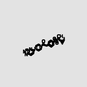 CN(C1CC1)S(=O)(=O)c1ccc(CC(=O)N2CCN(c3ccc4nncn4n3)CC2)cc1